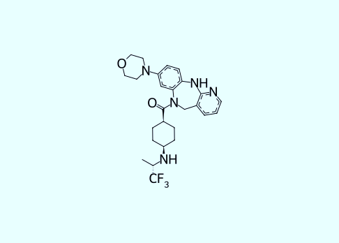 C[C@H](N[C@H]1CC[C@@H](C(=O)N2Cc3cccnc3Nc3ccc(N4CCOCC4)cc32)CC1)C(F)(F)F